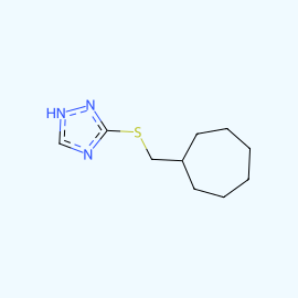 c1nc(SCC2CCCCCC2)n[nH]1